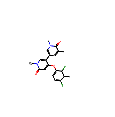 CCn1cc(-c2cc(C)c(=O)n(C)c2)c(OC2=CC=C(F)C(C)C2F)cc1=O